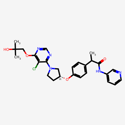 CC(C(=O)Nc1cccnc1)c1ccc(O[C@@H]2CCN(c3ncnc(OCC(C)(C)O)c3Cl)C2)cc1